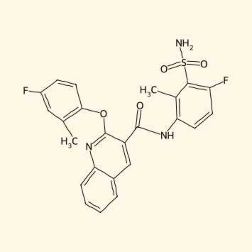 Cc1cc(F)ccc1Oc1nc2ccccc2cc1C(=O)Nc1ccc(F)c(S(N)(=O)=O)c1C